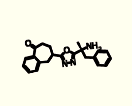 C[C@@](N)(Cc1ccccc1)c1nnc(C2CCC(=O)c3ccccc3C2)o1